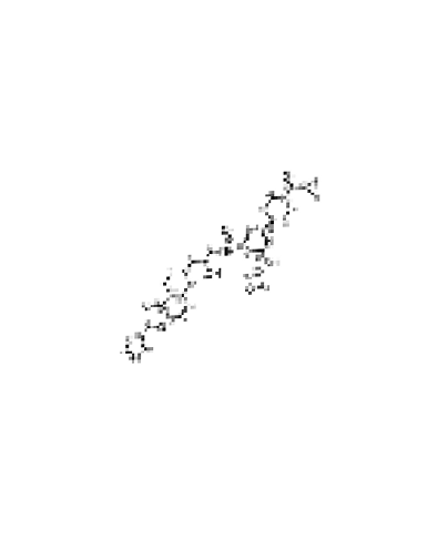 O=C(NC[C@H](O)CN1CCc2c(ccc(OCc3cnco3)c2Cl)C1)c1cc(NC2COC2)nc(N2CCN(C(=O)C3CC3)CC2)n1